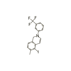 Cc1ccc2c(c1I)C=CN(c1cccc(C(F)(F)F)c1)C2